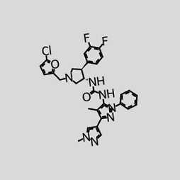 Cc1c(-c2cnn(C)c2)nn(-c2ccccc2)c1NC(=O)N[C@@H]1CN(Cc2ccc(Cl)o2)C[C@H]1c1ccc(F)c(F)c1